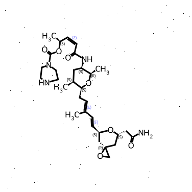 CC(/C=C/[C@@H]1C[C@@]2(CO2)C[C@@H](CC(N)=O)O1)=C\C[C@@H]1O[C@H](C)[C@H](NC(=O)/C=C\[C@H](C)OC(=O)N2CCNCC2)C[C@@H]1C